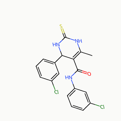 CC1=C(C(=O)Nc2cccc(Cl)c2)C(c2cccc(Cl)c2)NC(=S)N1